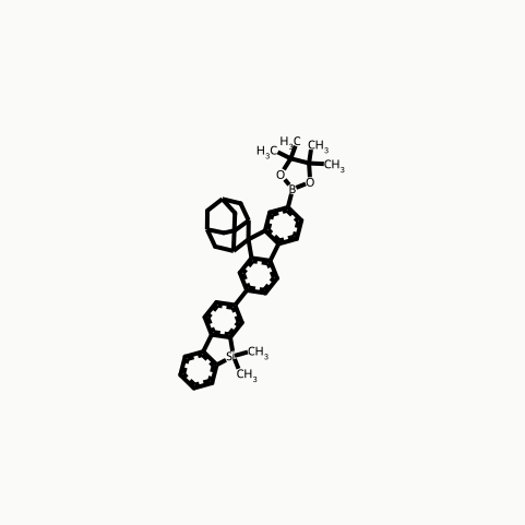 CC1(C)OB(c2ccc3c(c2)C2(c4cc(-c5ccc6c(c5)[Si](C)(C)c5ccccc5-6)ccc4-3)C3CCC4CC(C3)CC2C4)OC1(C)C